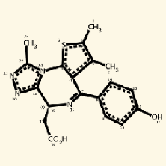 Cc1sc2c(c1C)C(c1ccc(O)cc1)=N[C@@H](CC(=O)O)c1nnc(C)n1-2